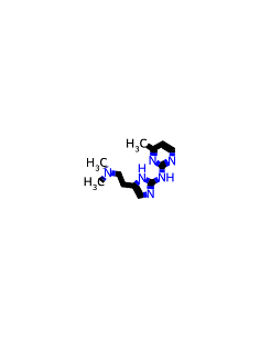 Cc1ccnc(Nc2ncc(CCN(C)C)[nH]2)n1